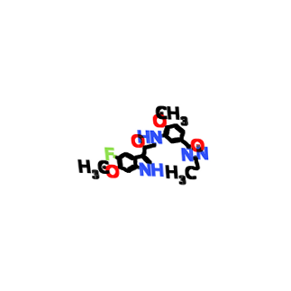 CCc1noc(-c2ccc(OC)c(NCC(=O)c3c[nH]c4cc(OC)c(F)cc34)c2)n1